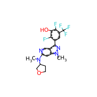 CN(c1cc2c(cn1)c(-c1cc(C(F)(F)F)c(F)c(O)c1F)nn2C)C1CCOC1